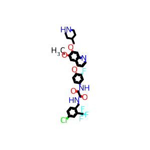 COc1cc2c(Oc3ccc(NC(=O)C(=O)NCc4ccc(Cl)cc4C(F)(F)F)cc3F)ccnc2cc1OCC1CCNCC1